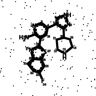 Nc1ncc(-c2c[nH]nc2C2CCNCC2)cc1-c1nc2ccc(F)cc2s1